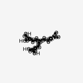 O=COCN(COC=O)c1ccc(C(=O)OCC(=O)OCC(COC(=O)COC(=O)c2ccc(N(CC(=O)O)CC(=O)O)cc2)OC(=O)COC(=O)c2ccc(N(CC(=O)O)CC(=O)O)cc2)cc1